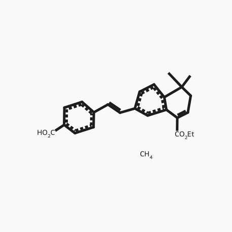 C.CCOC(=O)C1=CCC(C)(C)c2ccc(C=Cc3ccc(C(=O)O)cc3)cc21